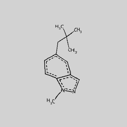 Cn1ncc2cc(CC(C)(C)C)ccc21